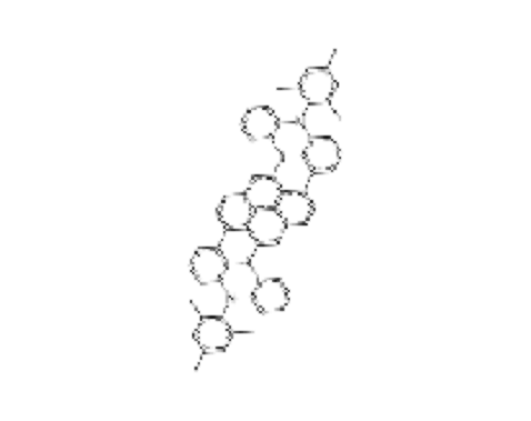 Cc1cc(C)c(N2c3ccccc3B3c4c(cccc42)-c2ccc4cc5c6c(ccc7cc3c2c4c76)-c2cccc3c2B5c2ccccc2N3c2c(C)cc(C)cc2C)c(C)c1